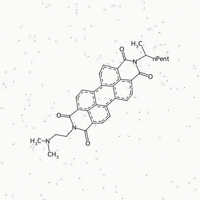 CCCCCC(C)N1C(=O)c2ccc3c4ccc5c6c(ccc(c7ccc(c2c37)C1=O)c64)C(=O)N(CCN(C)C)C5=O